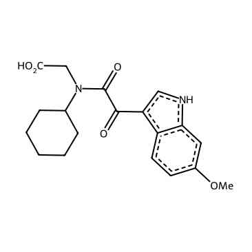 COc1ccc2c(C(=O)C(=O)N(CC(=O)O)C3CCCCC3)c[nH]c2c1